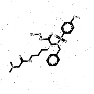 COc1ccc(S(=O)(=O)N(Cc2ccccc2)[C@H](CCCCNC(=O)CN(C)C)C(=O)NOC(C)(C)C)cc1